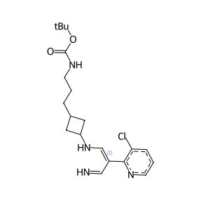 CC(C)(C)OC(=O)NCCCC1CC(N/C=C(\C=N)c2ncccc2Cl)C1